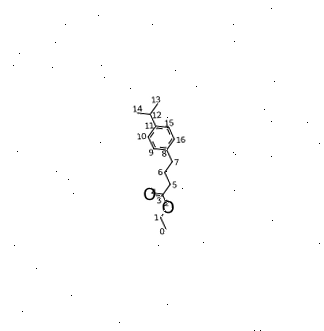 CCOC(=O)CCCc1ccc(C(C)C)cc1